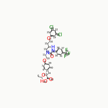 CCOC(Cc1ccc(OCCN(CCCCOc2cc(Cl)cc(Cl)c2)C(=O)Nc2ccc(C(F)(F)F)cc2)cc1)C(=O)O